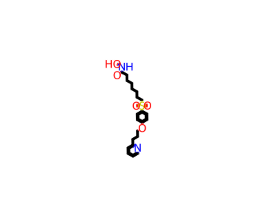 O=C(CCCCCCCS(=O)(=O)c1ccc(OCCCc2ccccn2)cc1)NO